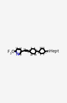 CCCCCCCC1CCC(C2CCC(C#Cc3ccc(C(F)(F)F)nc3)CC2)CC1